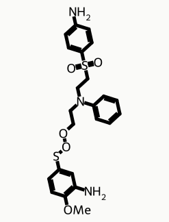 COc1ccc(SOOCCN(CCS(=O)(=O)c2ccc(N)cc2)c2ccccc2)cc1N